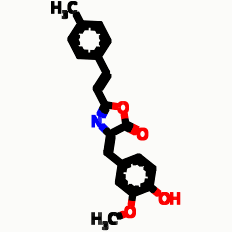 COc1cc(C=C2N=C(/C=C/c3ccc(C)cc3)OC2=O)ccc1O